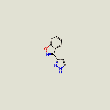 c1ccc2c(-c3cc[nH]n3)noc2c1